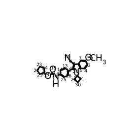 COc1ccc2c(c1)c(C#N)c(-c1ccc(NC(=O)OC3CCCC3)cc1)n2C1CCC1